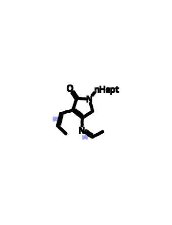 C/C=C\C1=C(/N=C\C)CN(CCCCCCC)C1=O